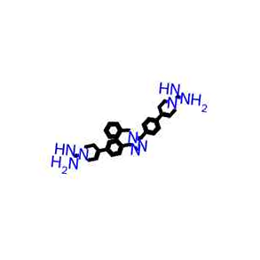 N=C(N)N1CC=C(c2ccc(-c3nnc(-c4ccc(C5=CCN(C(=N)N)CC5)cc4)n3Cc3ccccc3)cc2)CC1